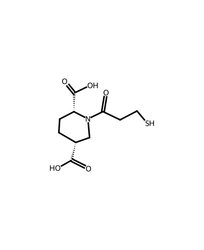 O=C(O)[C@@H]1CC[C@H](C(=O)O)N(C(=O)CCS)C1